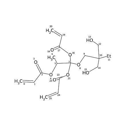 C=CC(=O)OC(C)C(OCC(CC)(CO)CO)(OC(=O)C=C)OC(=O)C=C